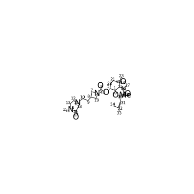 COC1C(OC(=O)N2CC(CCN3CCN(C)C(=O)C3)C2)CCC2(CO2)C1[C@@]1(C)O[C@@H]1CC=C(C)C